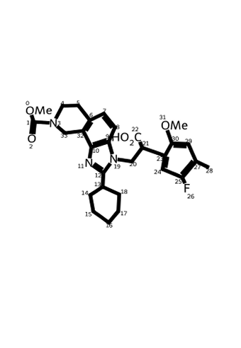 COC(=O)N1CCc2ccc3c(nc(C4CCCCC4)n3CC(C(=O)O)c3cc(F)c(C)cc3OC)c2C1